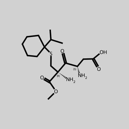 COC(=O)[C@@](N)(CSC1(C(C)C)CCCCC1)C(=O)[C@@H](N)CC(=O)O